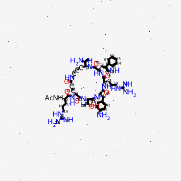 C=C(N)C1CCCNC(=O)CC[C@H](NC(=O)[C@H](CCCNC(=N)N)NC(C)=O)C(=O)N[C@@H]([C@@H](C)O)C(=O)N[C@H](Cc2ccc(N)cc2)C(=O)N[C@@H](CCCNC(=N)N)C(=O)N[C@@H](Cc2c[nH]c3ccccc23)C(=O)N1